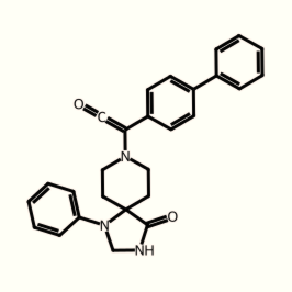 O=C=C(c1ccc(-c2ccccc2)cc1)N1CCC2(CC1)C(=O)NCN2c1ccccc1